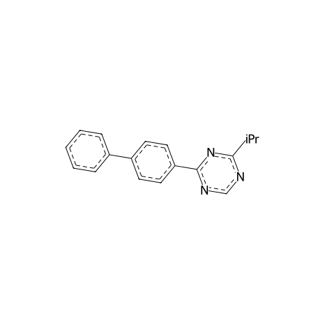 CC(C)c1ncnc(-c2ccc(-c3ccccc3)cc2)n1